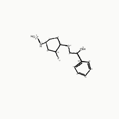 O=C(O)NC1CCC(OCC(O)c2ccccc2)C(F)C1